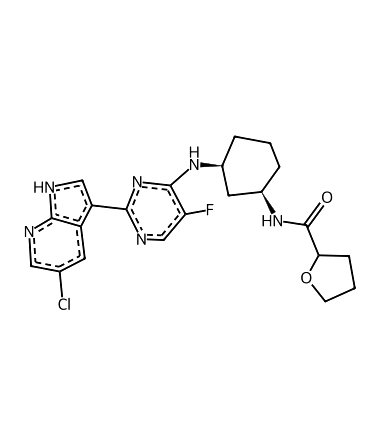 O=C(N[C@@H]1CCC[C@H](Nc2nc(-c3c[nH]c4ncc(Cl)cc34)ncc2F)C1)C1CCCO1